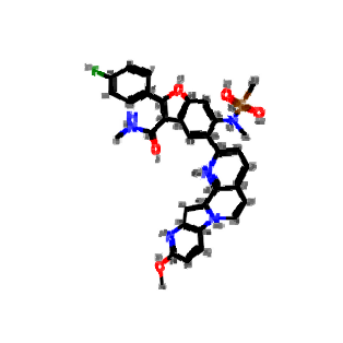 CNC(=O)c1c(-c2ccc(F)cc2)oc2cc(N(C)S(C)(=O)=O)c(-c3ccc4ccn5c6ccc(OC)nc6cc5c4n3)cc12